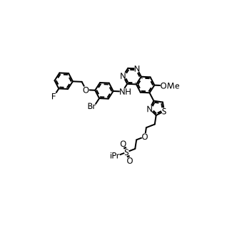 COc1cc2ncnc(Nc3ccc(OCc4cccc(F)c4)c(Br)c3)c2cc1-c1csc(CCOCCS(=O)(=O)C(C)C)n1